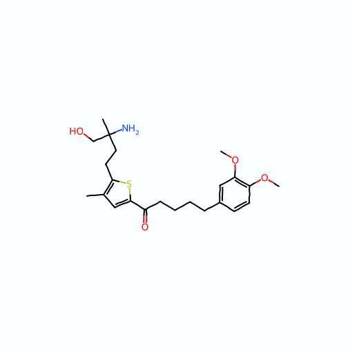 COc1ccc(CCCCC(=O)c2cc(C)c(CCC(C)(N)CO)s2)cc1OC